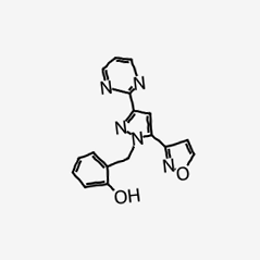 Oc1ccccc1Cn1nc(-c2ncccn2)cc1-c1ccon1